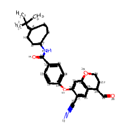 CC(C)(C)C1CCC(NC(=O)c2ccc(Oc3cc4c(cc3C#N)C(C=O)CCO4)cc2)CC1